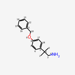 CC(C)(CN)c1ccc(OCc2ccccc2)cc1